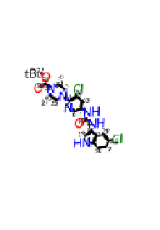 C[C@@H]1CN(c2ncc(NC(=O)Nc3c[nH]c4ccc(Cl)cc34)cc2Cl)C[C@H](C)N1C(=O)OC(C)(C)C